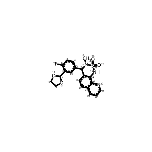 CN1C(c2ccc(F)c(C3OCCO3)c2)c2ccc3cccnc3c2NS1(=O)=O